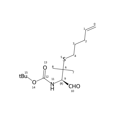 C=CCCCSC(C)(C)[C@@H](C=O)NC(=O)OC(C)(C)C